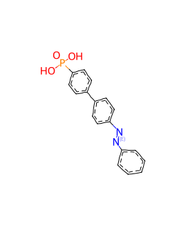 O=P(O)(O)c1ccc(-c2ccc(/N=N/c3ccccc3)cc2)cc1